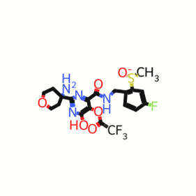 C[S+]([O-])c1cc(F)ccc1CNC(=O)c1nc(C2(N)CCOCC2)nc(O)c1OC(=O)C(F)(F)F